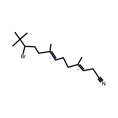 C/C(=C\CC#N)CC/C=C(\C)CCC(Br)C(C)(C)C